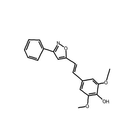 COc1cc(C=Cc2cc(-c3ccccc3)no2)cc(OC)c1O